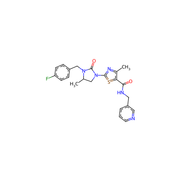 Cc1nc(N2CC(C)N(Cc3ccc(F)cc3)C2=O)sc1C(=O)NCc1cccnc1